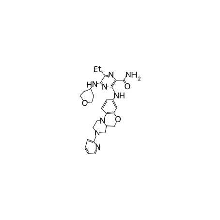 CCc1nc(C(N)=O)c(Nc2ccc3c(c2)OCC2CN(c4ccccn4)CCN32)nc1NC1CCOCC1